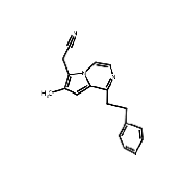 Cc1cc2c(CCc3ccccc3)nccn2c1CC#N